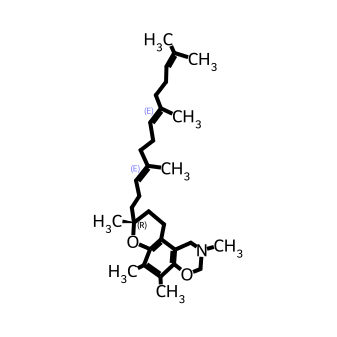 CC(C)=CCC/C(C)=C/CC/C(C)=C/CC[C@]1(C)CCc2c3c(c(C)c(C)c2O1)OCN(C)C3